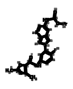 Cc1nc(C)c(C(=O)Nc2ccc(F)c(-n3cc4cc(NC(=O)OC(C)C)cnc4n3)c2)o1